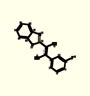 N#C/C(=C(/O)c1cccc(F)c1)c1nc2ccccc2s1